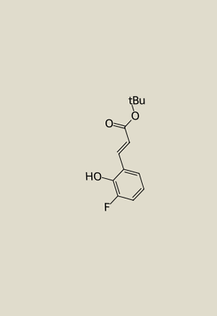 CC(C)(C)OC(=O)/C=C/c1cccc(F)c1O